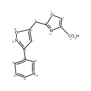 O=C(O)c1coc(Cc2cc(-c3cccnc3)no2)n1